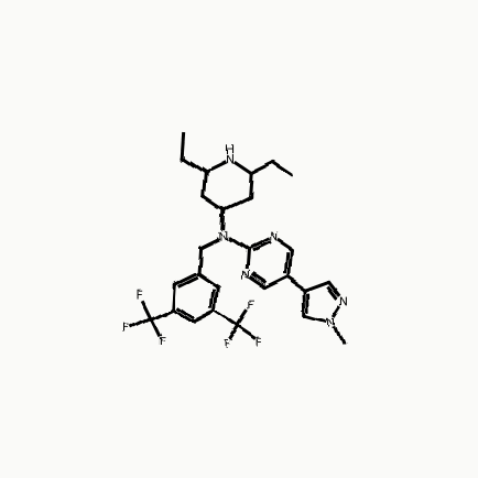 CCC1CC(N(Cc2cc(C(F)(F)F)cc(C(F)(F)F)c2)c2ncc(-c3cnn(C)c3)cn2)CC(CC)N1